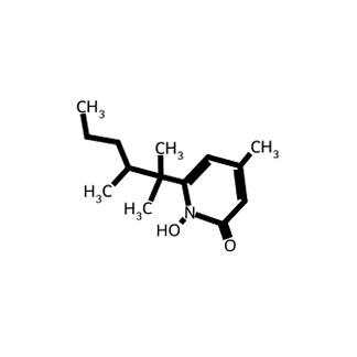 CCCC(C)C(C)(C)c1cc(C)cc(=O)n1O